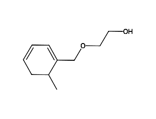 CC1CC=CC=C1COCCO